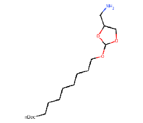 CCCCCCCCCCCCCCCCCCOC1OCC(CN)O1